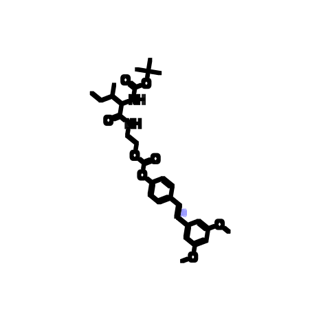 CCC(C)C(NC(=O)OC(C)(C)C)C(=O)NCCOC(=O)Oc1ccc(/C=C/c2cc(OC)cc(OC)c2)cc1